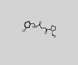 O=C[C@@H]1CCCN1C(=O)CCC(=O)NCc1cccc(Cl)c1